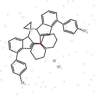 FC(F)(F)c1ccc(-c2cccc3c2C=C(C2CCCCC2)[CH]3[Ti+2]2([CH]3C(C4CCCCC4)=Cc4c(-c5ccc(C(F)(F)F)cc5)cccc43)[CH2][CH2]2)cc1.[Cl-].[Cl-]